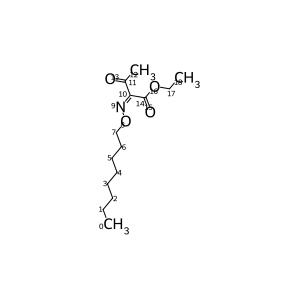 CCCCCCCCON=C(C(C)=O)C(=O)OCC